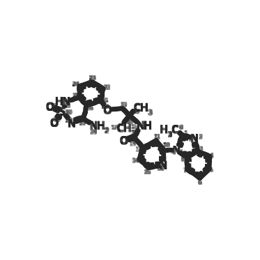 Cc1nc2ccccc2n1-c1cc(C(=O)NC(C)(C)COc2cccc3c2C(N)=NS(=O)(=O)N3)ccn1